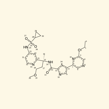 CCOc1cncc(-c2cnc(C(=O)N[C@@](C)(CCOC)c3cc(NS(=O)(=O)C4CC4)ccn3)s2)n1